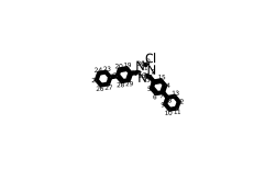 Clc1nc(-c2ccc(C3CCCCC3)cc2)nc(-c2ccc(C3CCCCC3)cc2)n1